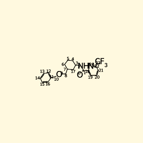 O=C(NC1CCCC(COCc2ccccc2)C1)c1cccc(C(F)(F)F)n1